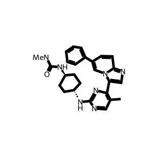 CNC(=O)N[C@H]1CC[C@H](Nc2ncc(C)c(-c3cnc4ccc(-c5ccccc5)cn34)n2)CC1